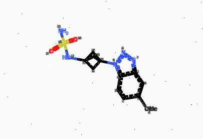 COc1ccc2c(c1)nnn2C12CC(NS(N)(=O)=O)(C1)C2